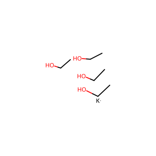 CCO.CCO.CCO.CCO.[K]